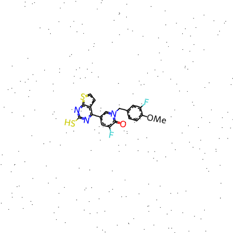 COc1ccc(Cn2cc(-c3nc(S)nc4sccc34)cc(F)c2=O)cc1F